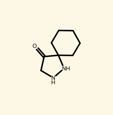 O=C1CNNC12CCCCC2